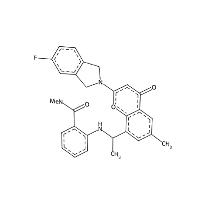 CNC(=O)c1ccccc1NC(C)c1cc(C)cc2c(=O)cc(N3Cc4ccc(F)cc4C3)oc12